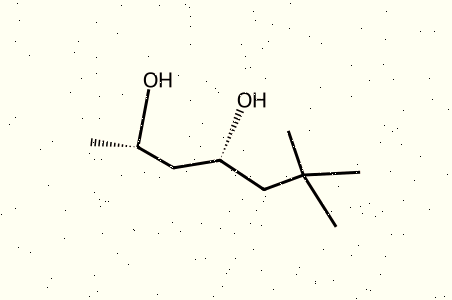 C[C@H](O)C[C@H](O)CC(C)(C)C